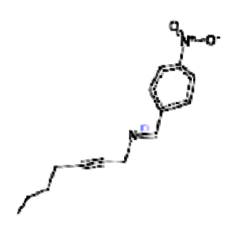 CCCCC#CC/N=C/c1ccc([N+](=O)[O-])cc1